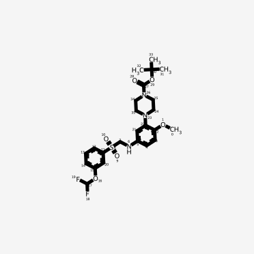 COc1ccc(NCS(=O)(=O)c2cccc(OC(F)F)c2)cc1N1CCN(C(=O)OC(C)(C)C)CC1